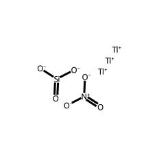 O=[N+]([O-])[O-].O=[Si]([O-])[O-].[Tl+].[Tl+].[Tl+]